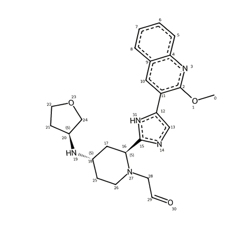 COc1nc2ccccc2cc1-c1cnc([C@@H]2C[C@@H](N[C@H]3CCOC3)CCN2CC=O)[nH]1